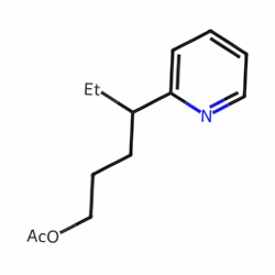 CCC(CCCOC(C)=O)c1ccccn1